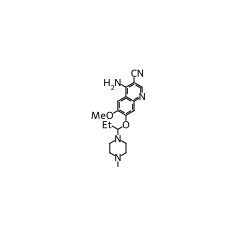 CCC(Oc1cc2ncc(C#N)c(N)c2cc1OC)N1CCN(C)CC1